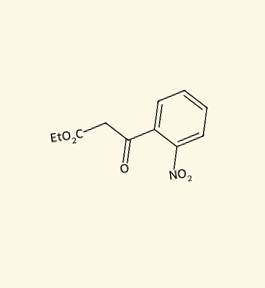 CCOC(=O)CC(=O)c1ccccc1[N+](=O)[O-]